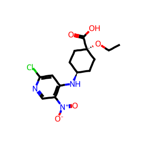 CCO[C@]1(C(=O)O)CC[C@@H](Nc2cc(Cl)ncc2[N+](=O)[O-])CC1